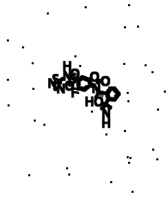 C[C@H](c1ccccc1C1(O)CNC1)n1c(=O)oc2cc(S(=O)(=O)Nc3ncns3)c(F)cc21